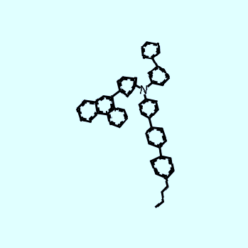 CCCCc1ccc(-c2ccc(-c3ccc(N(c4cccc(-c5ccccc5)c4)c4cccc(-c5cc6ccccc6c6ccccc56)c4)cc3)cc2)cc1